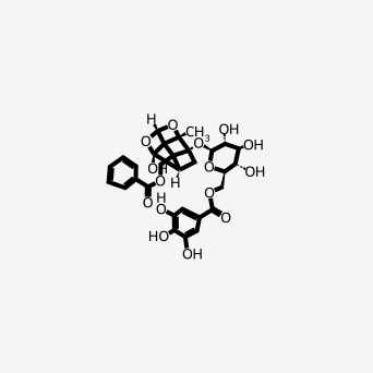 C[C@@]12O[C@H]3O[C@@]4(O)[C@@H]5C[C@@]1(O[C@@H]1O[C@H](COC(=O)c6cc(O)c(O)c(O)c6)[C@@H](O)[C@H](O)[C@H]1O)C5(COC(=O)c1ccccc1)C342